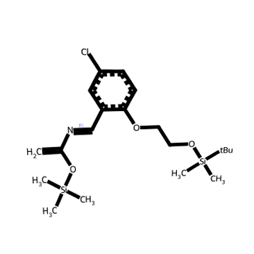 C=C(/N=C/c1cc(Cl)ccc1OCCO[Si](C)(C)C(C)(C)C)O[Si](C)(C)C